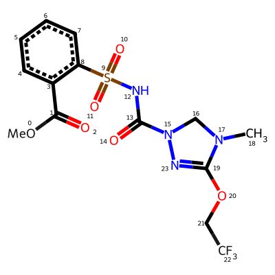 COC(=O)c1ccccc1S(=O)(=O)NC(=O)N1CN(C)C(OCC(F)(F)F)=N1